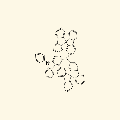 c1ccc(-n2c3ccccc3c3cc(N(c4ccc5c(c4)C4(c6ccccc6-c6ccccc64)c4ccccc4-5)c4ccc5c(c4)C4(c6ccccc6-c6ccccc64)c4ccccc4-5)ccc32)cc1